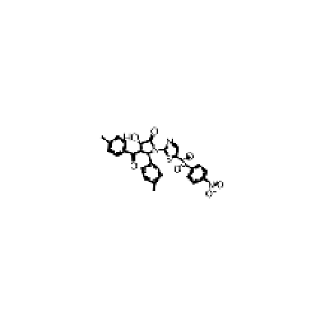 Cc1ccc(C(=O)C2=C(O)C(=O)N(c3ncc(S(=O)(=O)c4ccc([N+](=O)[O-])cc4)s3)C2c2ccc(C)cc2)cc1